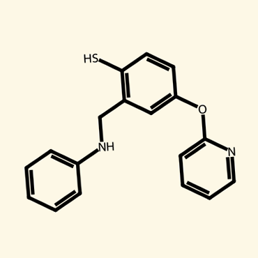 Sc1ccc(Oc2ccccn2)cc1CNc1ccccc1